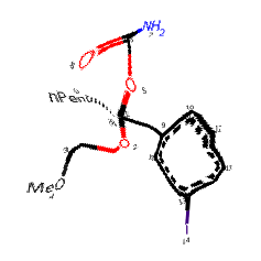 CCCCC[C@](OCOC)(OC(N)=O)c1cccc(I)c1